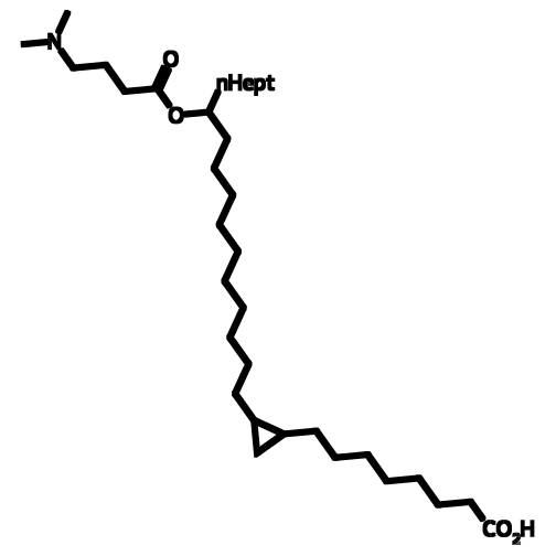 CCCCCCCC(CCCCCCCCCCC1CC1CCCCCCCC(=O)O)OC(=O)CCCN(C)C